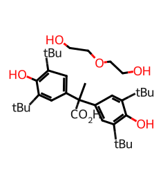 CC(C)(C)c1cc(C(C)(C(=O)O)c2cc(C(C)(C)C)c(O)c(C(C)(C)C)c2)cc(C(C)(C)C)c1O.OCCOCCO